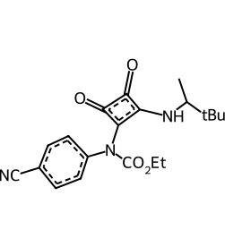 CCOC(=O)N(c1ccc(C#N)cc1)c1c(NC(C)C(C)(C)C)c(=O)c1=O